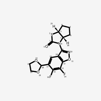 O=C1S[C@@H]2CCC[C@@H]2N1c1noc2c(F)c(F)c(C3OCCO3)cc12